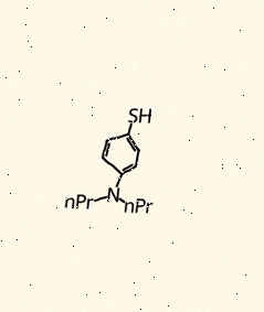 CCCN(CCC)c1ccc(S)cc1